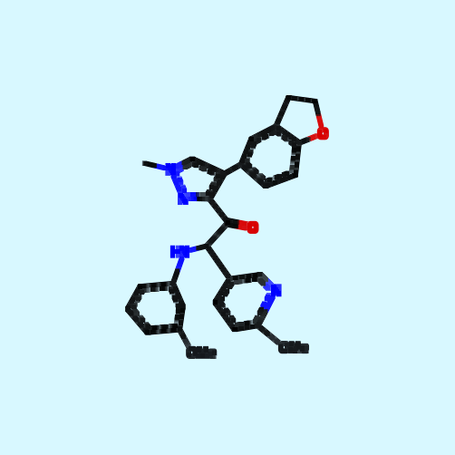 COc1cccc(NC(C(=O)c2nn(C)cc2-c2ccc3c(c2)CCO3)c2ccc(OC)nc2)c1